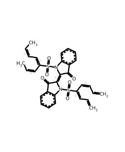 C=C/C=C\C(=C/C=C)S(=O)(=O)N1/C(=C2\C(=O)c3ccccc3N2S(=O)(=O)C(/C=C\C)=C/C=C\C)C(=O)c2ccccc21